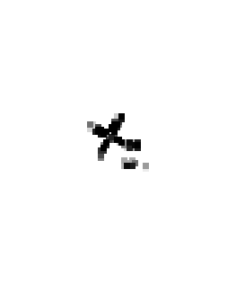 O=S(=O)(O)I.[SbH3]